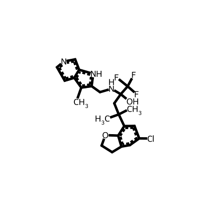 Cc1c(CNC(O)(CC(C)(C)c2cc(Cl)cc3c2OCC3)C(F)(F)F)[nH]c2cnccc12